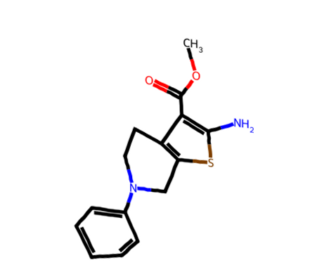 COC(=O)c1c(N)sc2c1CCN(c1ccccc1)C2